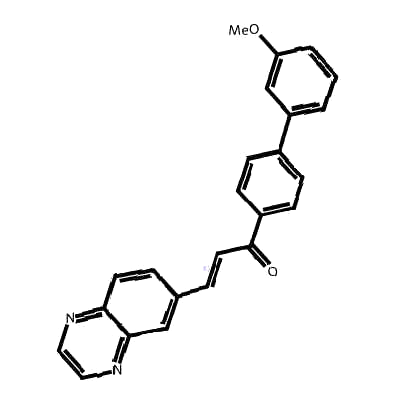 COc1cccc(-c2ccc(C(=O)/C=C/c3ccc4nccnc4c3)cc2)c1